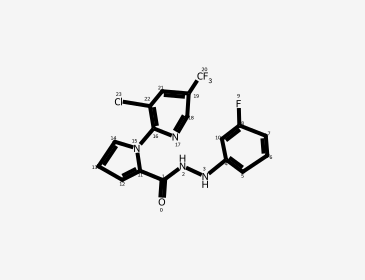 O=C(NNc1cccc(F)c1)c1cccn1-c1ncc(C(F)(F)F)cc1Cl